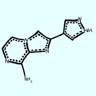 Nc1nccn2cc(-c3cn[nH]c3)nc12